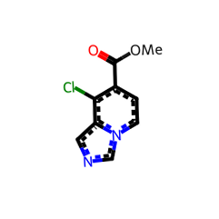 COC(=O)c1ccn2cncc2c1Cl